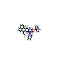 CC(C)(C)OC(=O)N1C2CCC1CN(c1nc(OCC34CCCN3CCC4)nc3c(F)c(-c4cccc5cccc(CCCF)c45)ncc13)C2